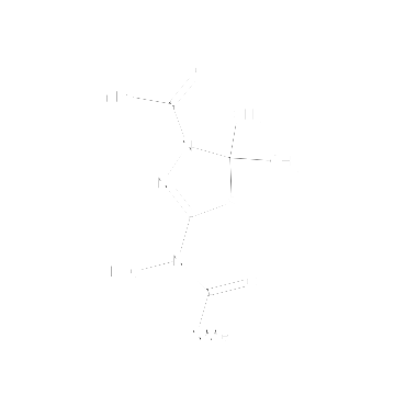 CCCC(=O)N1N=C(N(C)C(=O)NC)SC1(C)C